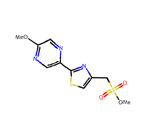 COc1cnc(-c2nc(CS(=O)(=O)OC)cs2)cn1